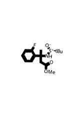 COC(=O)CC(C)(N[S@+]([O-])C(C)(C)C)c1ccccc1F